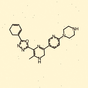 CC1=C(c2nnc(C3=CC=CCC3)o2)N=C(c2ccc(N3CCNCC3)nc2)CN1